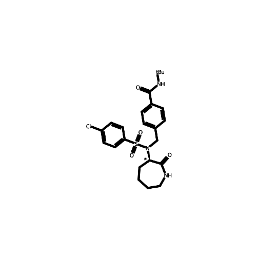 CC(C)(C)NC(=O)c1ccc(CN([C@@H]2CCCCNC2=O)S(=O)(=O)c2ccc(Cl)cc2)cc1